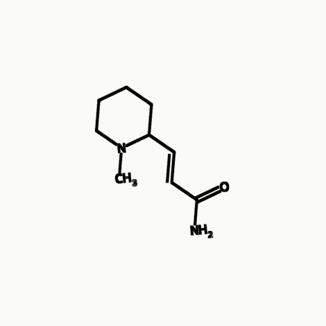 CN1CCCCC1/C=C/C(N)=O